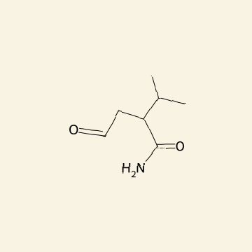 CC(C)C(CC=O)C(N)=O